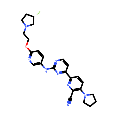 N#Cc1nc(-c2ccnc(Nc3ccc(OCCN4CC[C@H](F)C4)nc3)n2)ccc1N1CCCC1